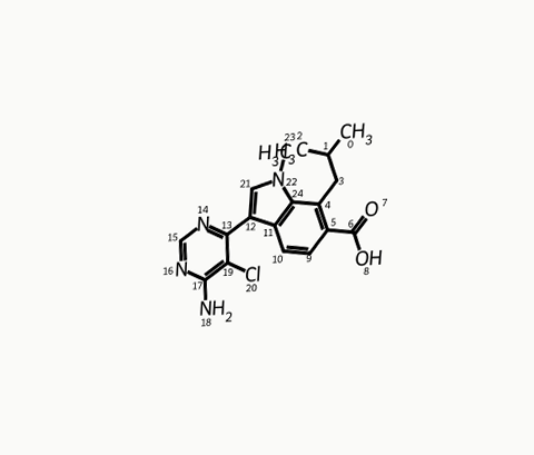 CC(C)Cc1c(C(=O)O)ccc2c(-c3ncnc(N)c3Cl)cn(C)c12